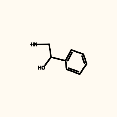 [NH]CC(O)c1ccccc1